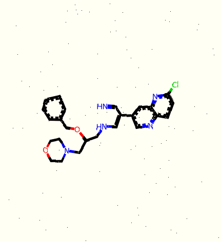 N=C/C(=C\NCC(CN1CCOCC1)OCc1ccccc1)c1cnc2ccc(Cl)nc2c1